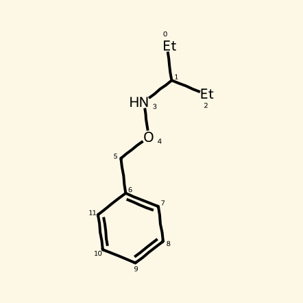 CCC(CC)NOCc1ccccc1